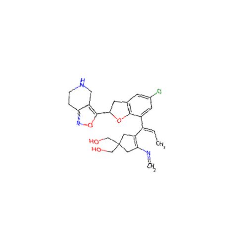 C=NC1=C(/C(=C\C)c2cc(Cl)cc3c2OC(c2onc4c2CNCC4)C3)CC(CO)(CO)C1